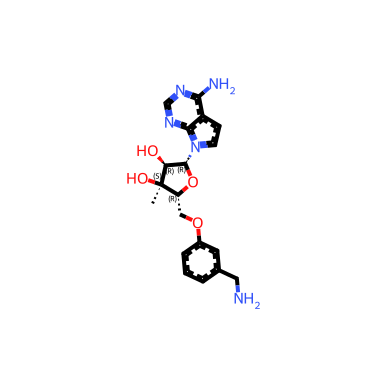 C[C@@]1(O)[C@@H](COc2cccc(CN)c2)O[C@@H](n2ccc3c(N)ncnc32)[C@@H]1O